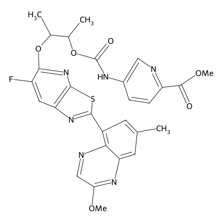 COC(=O)c1ccc(NC(=O)OC(C)C(C)Oc2nc3sc(-c4cc(C)cc5nc(OC)cnc45)nc3cc2F)cn1